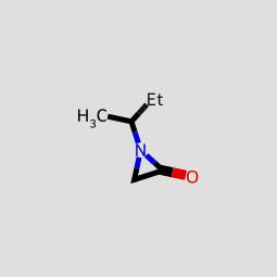 CCC(C)N1CC1=O